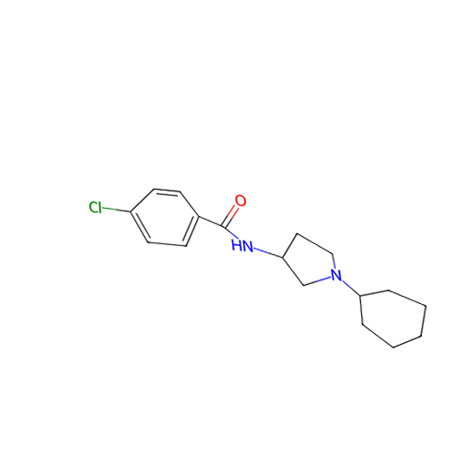 O=C(NC1CCN(C2CCCCC2)C1)c1ccc(Cl)cc1